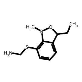 CCC1OB(C)c2c(SCN)cccc21